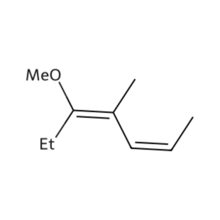 C/C=C\C(C)=C(/CC)OC